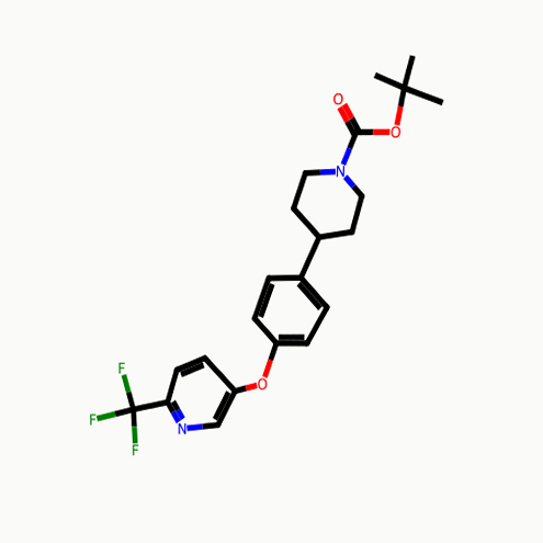 CC(C)(C)OC(=O)N1CCC(c2ccc(Oc3ccc(C(F)(F)F)nc3)cc2)CC1